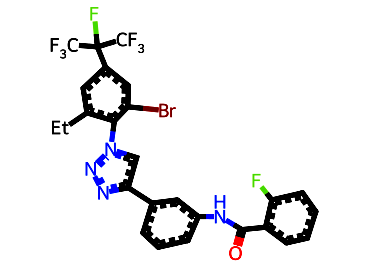 CCc1cc(C(F)(C(F)(F)F)C(F)(F)F)cc(Br)c1-n1cc(-c2cccc(NC(=O)c3ccccc3F)c2)nn1